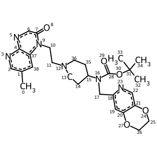 Cc1cnc2ncc(=O)n(CCN3CCC(N(Cc4cc5c(cn4)OCCO5)C(=O)OC(C)(C)C)CC3)c2c1